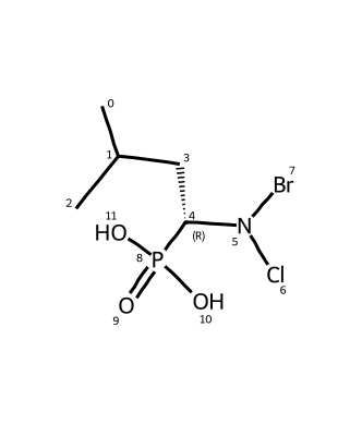 CC(C)C[C@H](N(Cl)Br)P(=O)(O)O